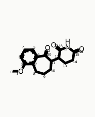 COc1cccc2c1CCCC(C1CCC(=O)NC1=O)C2=O